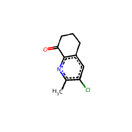 Cc1nc2c(cc1Cl)CCCC2=O